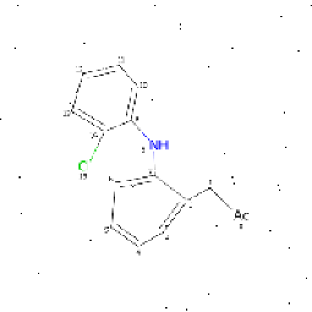 CC(=O)Cc1ccccc1Nc1ccccc1Cl